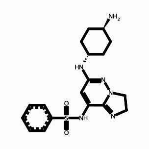 N[C@H]1CC[C@H](NC2=NN3CCN=C3C(NS(=O)(=O)c3ccccc3)=C2)CC1